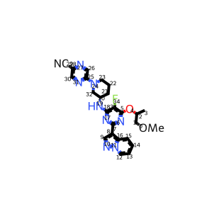 COCC(C)Oc1nc(-c2cnn3ccccc23)nc(N[C@@H]2CCCN(c3cnc(C#N)cn3)C2)c1F